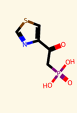 O=C(CP(=O)(O)O)c1cscn1